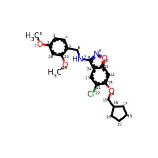 COc1ccc(CNc2noc3cc(OCC4CCCC4)c(Cl)cc23)c(OC)c1